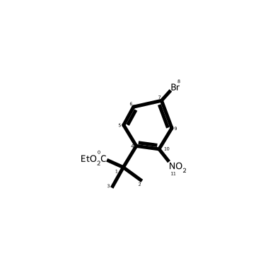 CCOC(=O)C(C)(C)c1ccc(Br)cc1[N+](=O)[O-]